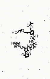 CC(C)C(=O)OCc1ccc(NC(=O)CNC(=O)C(NC(=O)CN2C(=O)C(N3C(=O)C=CC3=O)CC2COCCS(=O)(=O)O)C(C)C)cc1C#CCOC(C)(C)CCO